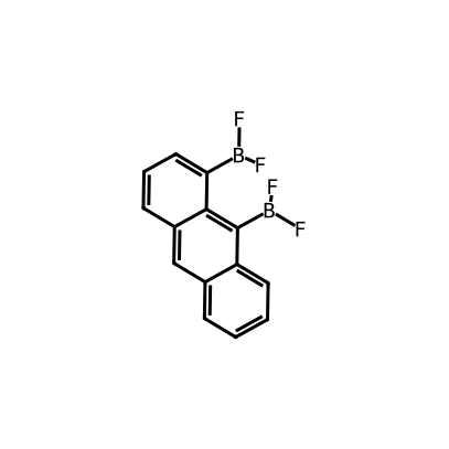 FB(F)c1cccc2cc3ccccc3c(B(F)F)c12